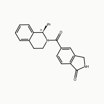 CC(C)[C@@H]1c2ccccc2CCN1C(=O)c1ccc2c(c1)CNC2=O